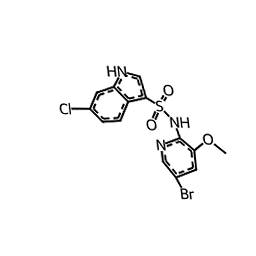 COc1cc(Br)cnc1NS(=O)(=O)c1c[nH]c2cc(Cl)ccc12